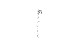 CC(C)=CCC/C(C)=C/CC/C(C)=C/CC/C=C(\C)CC/C=C(\C)CCC=C(CO)C(O)(O)O